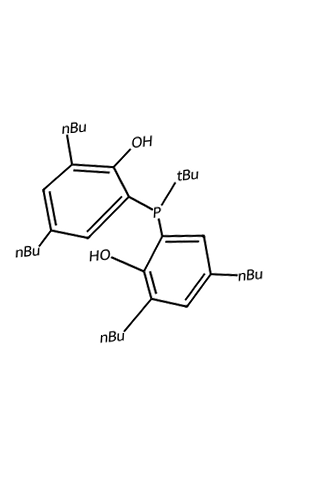 CCCCc1cc(CCCC)c(O)c(P(c2cc(CCCC)cc(CCCC)c2O)C(C)(C)C)c1